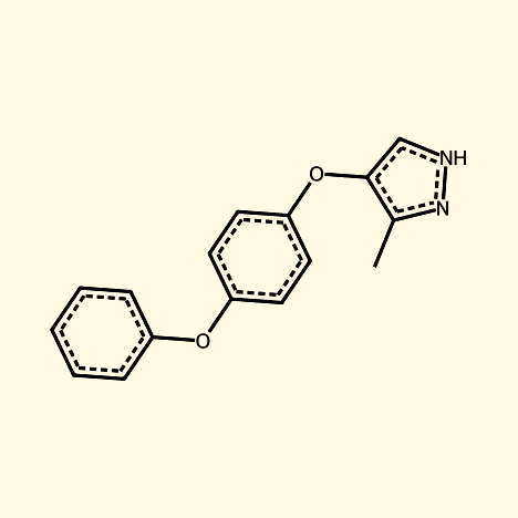 Cc1n[nH]cc1Oc1ccc(Oc2ccccc2)cc1